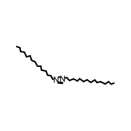 CCCCCCCCCCCCCCCN1C=CN(CCCCCCCCCCCCCCC)C1